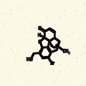 CN1CC[C@@]23c4c5c(Br)cc(CO)c4O[C@@H]2C(=O)C=CC3C1C5